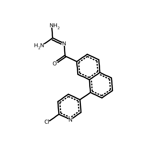 NC(N)=NC(=O)c1ccc2cccc(-c3ccc(Cl)nc3)c2c1